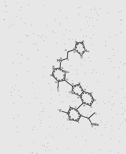 CNC(C)c1cnc(F)cc1-c1cccc2cc(-c3nc(NCCn4ccnn4)ncc3F)sc12